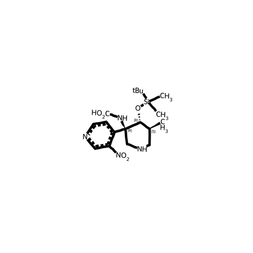 C[C@H]1CNC[C@](NC(=O)O)(c2ccncc2[N+](=O)[O-])[C@@H]1O[Si](C)(C)C(C)(C)C